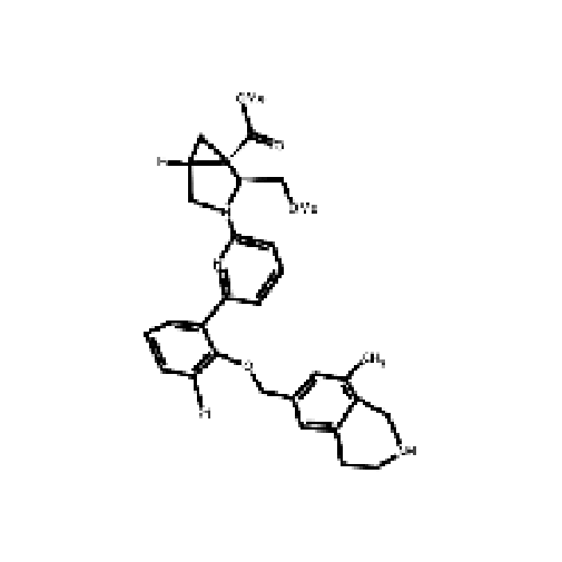 COC[C@H]1N(c2cccc(-c3cccc(Cl)c3OCc3cc(C)c4c(c3)CCNC4)n2)C[C@@H]2C[C@@]21C(=O)OC